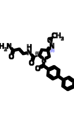 CO/N=C1\C[C@@H](C(=O)NCCC(N)=O)N(C(=O)c2ccc(-c3ccccc3)cc2)C1